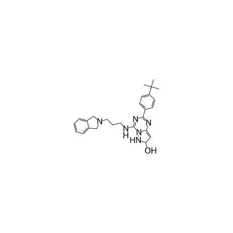 CC(C)(C)c1ccc(C2=NC3=CC(O)NN3C(NCCCN3Cc4ccccc4C3)=N2)cc1